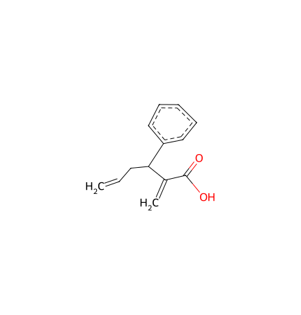 C=CCC(C(=C)C(=O)O)c1ccccc1